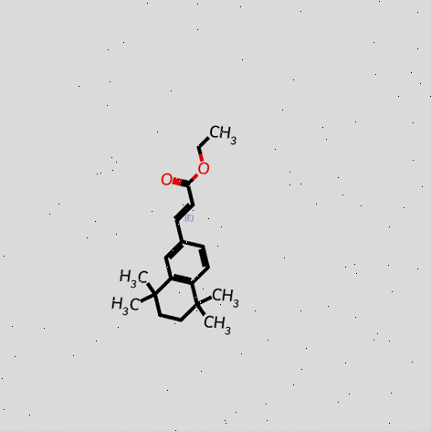 CCOC(=O)/C=C/c1ccc2c(c1)C(C)(C)CCC2(C)C